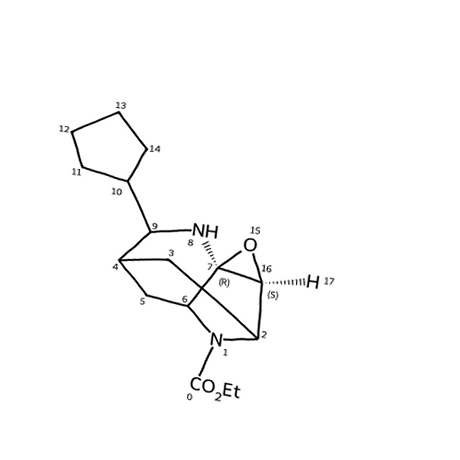 CCOC(=O)N1C2CC3CC1[C@@]1(NC3C3CCCC3)O[C@@H]21